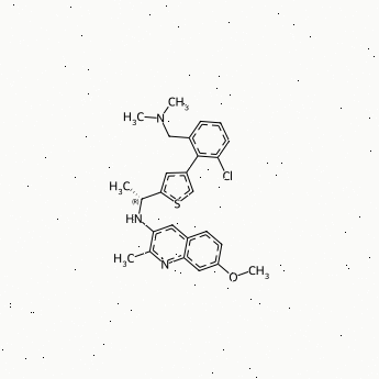 COc1ccc2cc(N[C@H](C)c3cc(-c4c(Cl)cccc4CN(C)C)cs3)c(C)nc2c1